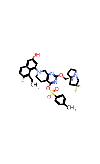 CCc1c(F)ccc2cc(O)cc(N3CCc4c(nc(OC[C@@]56CCCN5C[C@H](F)C6)nc4OS(=O)(=O)c4ccc(C)cc4)C3)c12